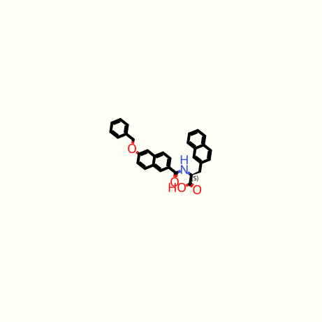 O=C(N[C@@H](Cc1ccc2ccccc2c1)C(=O)O)c1ccc2cc(OCc3ccccc3)ccc2c1